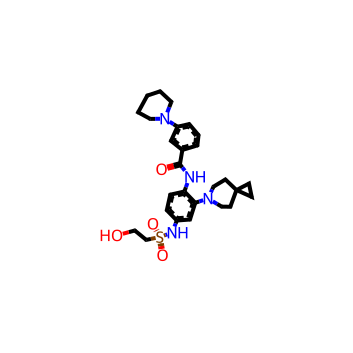 O=C(Nc1ccc(NS(=O)(=O)CCO)cc1N1CCC2(CC1)CC2)c1cccc(N2CCCCC2)c1